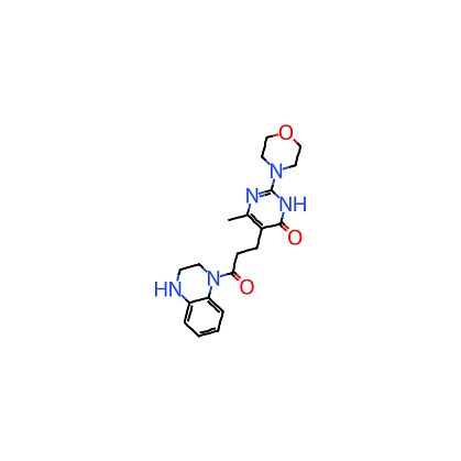 Cc1nc(N2CCOCC2)[nH]c(=O)c1CCC(=O)N1CCNc2ccccc21